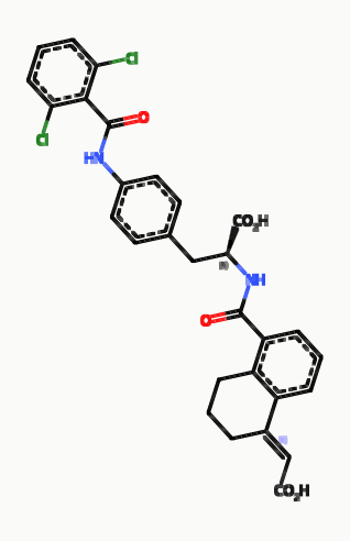 O=C(O)/C=C1\CCCc2c(C(=O)N[C@@H](Cc3ccc(NC(=O)c4c(Cl)cccc4Cl)cc3)C(=O)O)cccc21